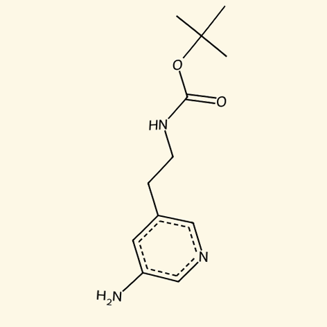 CC(C)(C)OC(=O)NCCc1cncc(N)c1